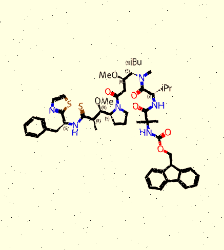 CC[C@H](C)[C@@H]([C@@H](CC(=O)N1CCC[C@H]1[C@H](OC)[C@@H](C)C(=S)N[C@@H](Cc1ccccc1)c1nccs1)OC)N(C)C(=O)[C@@H](NC(=O)C(C)(C)NC(=O)OCC1c2ccccc2-c2ccccc21)C(C)C